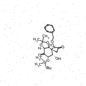 CC1(C)O[C@@H]2C(=O)[C@@H](O[Si](C)(C)C(C)(C)C)[C@@H](O)[C@]3(CC(=O)N3OCc3ccccc3)[C@@H]2O1